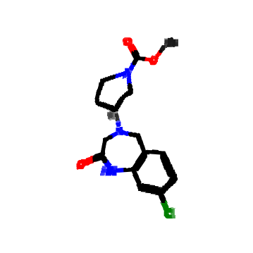 CC(C)(C)OC(=O)N1CC[C@@H](N2CC(=O)Nc3cc(Cl)ccc3C2)C1